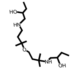 CCC(O)CNCCC(C)(C)OCCC(C)(C)NCC(O)CC